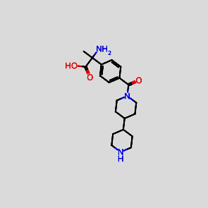 CC(N)(C(=O)O)c1ccc(C(=O)N2CCC(C3CCNCC3)CC2)cc1